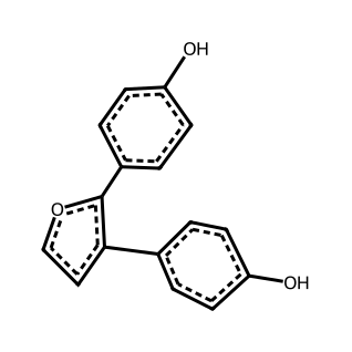 Oc1ccc(-c2ccoc2-c2ccc(O)cc2)cc1